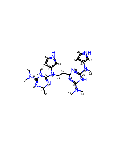 CC1N=C(N(C)C)N(C)C(N(CCC2N=C(N(C)C)NC(N(C)c3cc[nH]c3)=N2)c2cc[nH]c2)=N1